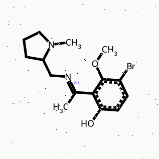 COc1c(Br)ccc(O)c1/C(C)=N/CC1CCCN1C